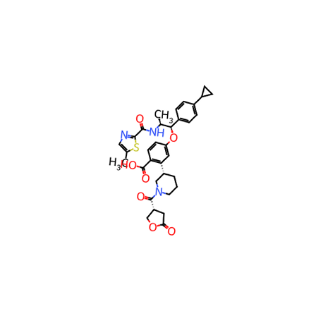 Cc1cnc(C(=O)N[C@@H](C)[C@H](Oc2ccc(C(=O)O)c([C@@H]3CCCN(C(=O)[C@H]4COC(=O)C4)C3)c2)c2ccc(C3CC3)cc2)s1